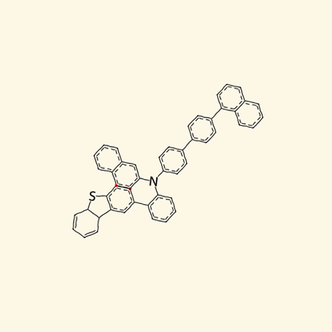 C1=CC2Sc3ccc(-c4ccccc4N(c4ccc(-c5ccc(-c6cccc7ccccc67)cc5)cc4)c4ccc5ccccc5c4)cc3C2C=C1